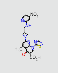 Cc1cc(N2CC(CNc3cc([N+](=O)[O-])ccn3)C2)nc2c1c(=O)c(C(=O)O)cn2-c1ncns1